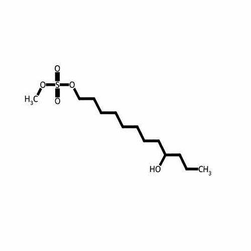 CCCC(O)CCCCCCCCOS(=O)(=O)OC